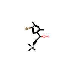 Cc1cc(C)c(C(O)C#C[Si](C)(C)C)cc1Br